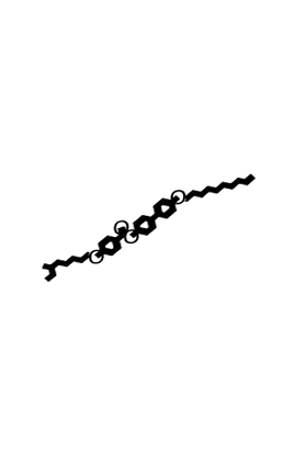 C=CCCCCCCCCOc1ccc(-c2ccc(OC(=O)c3ccc(OCCCCCC(C)CC)cc3)cc2)cc1